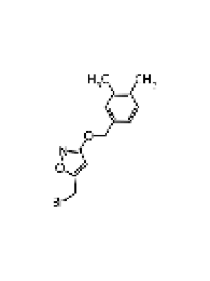 Cc1ccc(COc2cc(CBr)on2)cc1C